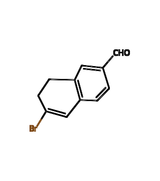 O=Cc1ccc2c(c1)CCC(Br)=C2